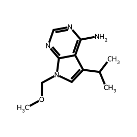 COCn1cc(C(C)C)c2c(N)ncnc21